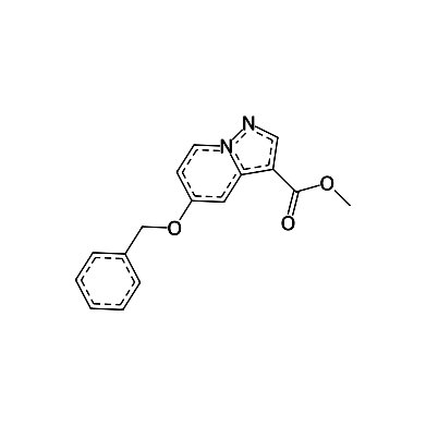 COC(=O)c1cnn2ccc(OCc3ccccc3)cc12